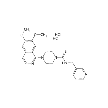 COc1cc2ccnc(N3CCN(C(=S)NCc4cccnc4)CC3)c2cc1OC.Cl.Cl